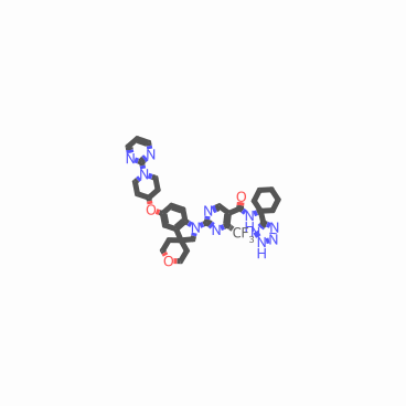 O=C(NC1(c2nn[nH]n2)CCCCC1)c1cnc(N2CC3(CCOCC3)c3cc(OC4CCN(c5ncccn5)CC4)ccc32)nc1C(F)(F)F